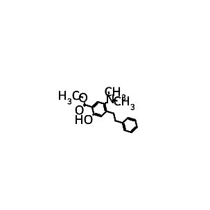 COC(=O)c1cc(N(C)C)c(CCc2ccccc2)cc1O